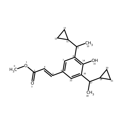 COC(=O)C=Cc1cc(C(C)C2CC2)c(O)c(C(C)C2CC2)c1